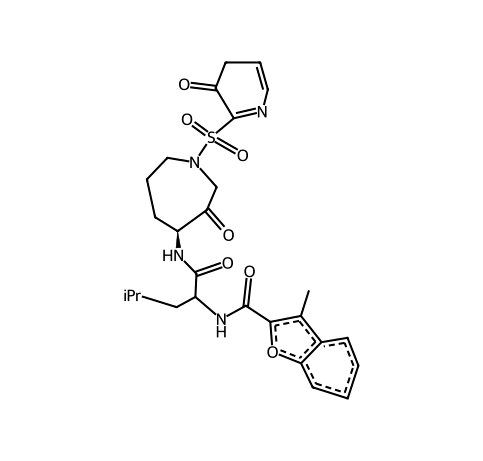 Cc1c(C(=O)NC(CC(C)C)C(=O)N[C@H]2CCCN(S(=O)(=O)C3=NC=CCC3=O)CC2=O)oc2ccccc12